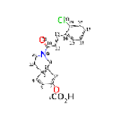 O=C(O)Oc1ccc2c(c1)CN(C(=O)C=Cc1ccccc1Cl)CC2